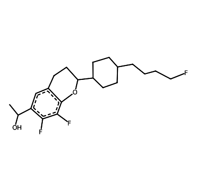 CC(O)c1cc2c(c(F)c1F)OC(C1CCC(CCCCF)CC1)CC2